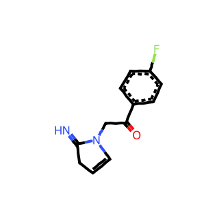 N=C1CC=CN1CC(=O)c1ccc(F)cc1